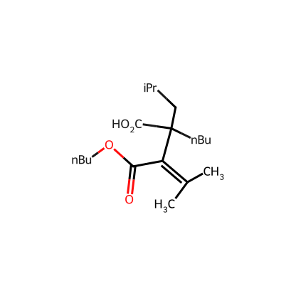 CCCCOC(=O)C(=C(C)C)C(CCCC)(CC(C)C)C(=O)O